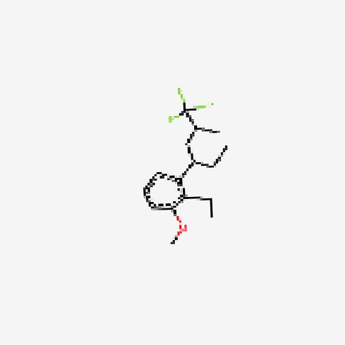 CCc1c(OC)cccc1C(CC)CC(C)C(F)(F)F